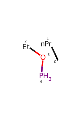 CCCC.CCOP